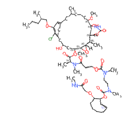 CCCC(C)COC1=C(Cl)C2CC(=C1)CC(C)CCC[C@@H](OC)[C@@]1(O)C[C@H](OC(=O)N1)[C@@H](C)[C@@H]1O[C@@]1(C)[C@@H](OC(=O)[C@H](C)N(C)C(=O)CCOC(=O)N(C)CCN(C)C(=O)OC1/C=C/CCCCC1OCC(=O)NC)CC(O)C2